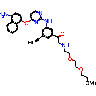 C#Cc1cc(Nc2nccc(Oc3ccc(N)c4ccccc34)n2)cc(C(=O)CNCCOCCOCCOC)c1